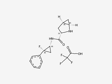 O=C(N[C@@H]1C[C@@]1(F)c1ccccc1)[C@@H]1C[C@H]2C[C@H]2N1.O=C(O)C(F)(F)F